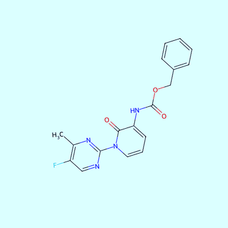 Cc1nc(-n2cccc(NC(=O)OCc3ccccc3)c2=O)ncc1F